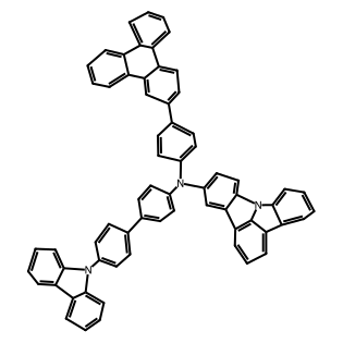 c1ccc2c(c1)c1ccccc1c1cc(-c3ccc(N(c4ccc(-c5ccc(-n6c7ccccc7c7ccccc76)cc5)cc4)c4ccc5c(c4)c4cccc6c7ccccc7n5c64)cc3)ccc21